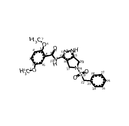 COc1ccc(OC)c(C(=O)Nc2n[nH]c3c2CN(S(=O)(=O)Cc2ccccc2)C3)c1